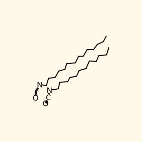 CCCCCCCCCCCCCCN=C=O.CCCCCCCCCCCCN=C=O